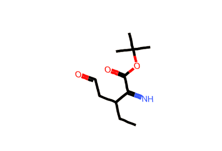 CCC(CC=O)C(=N)C(=O)OC(C)(C)C